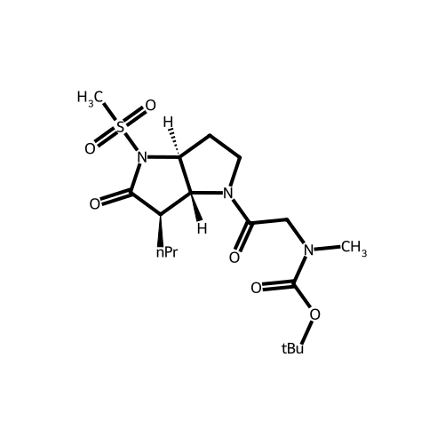 CCC[C@H]1C(=O)N(S(C)(=O)=O)[C@H]2CCN(C(=O)CN(C)C(=O)OC(C)(C)C)[C@H]12